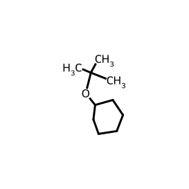 CC(C)(C)OC1CCCCC1